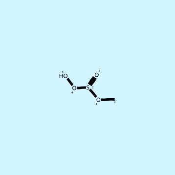 COS(=O)OO